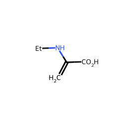 C=C(NCC)C(=O)O